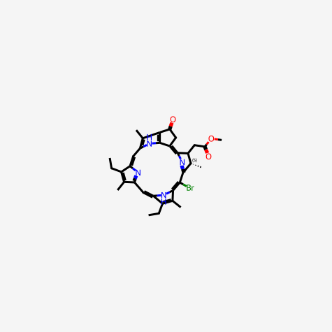 CCC1=C(C)c2cc3[nH]c(c(C)c3CC)c(Br)c3nc(c4c5[nH]c(cc1n2)c(C)c5C(=O)C4)C(CC(=O)OC)[C@@H]3C